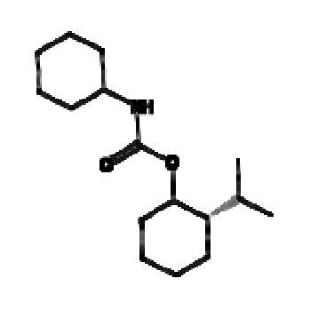 CC(C)[C@@H]1CCCCC1OC(=O)NC1CCCCC1